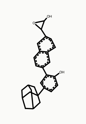 Oc1ccc(C23CC4CC(CC(C4)C2)C3)cc1-c1ccc2cc(C3OC3O)ccc2c1